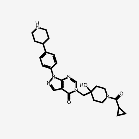 O=C(C1CC1)N1CCC(O)(Cn2cnc3c(cnn3-c3ccc(C4CCNCC4)cc3)c2=O)CC1